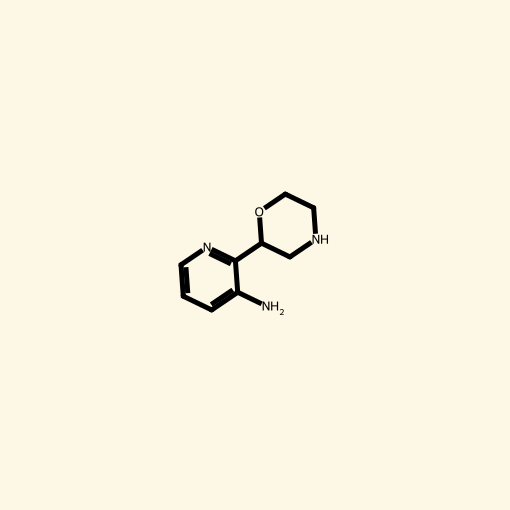 Nc1cccnc1C1CNCCO1